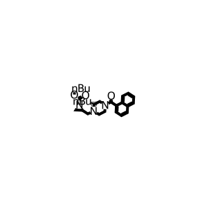 CCCCOC(=O)N1CC1CN1CCN(C(=O)c2cccc3ccccc23)C[C@@H]1CCCC